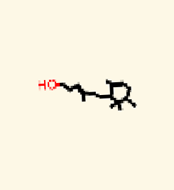 CC1=CCC(C)C(C)(C)C1CC/C(C)=C/CCO